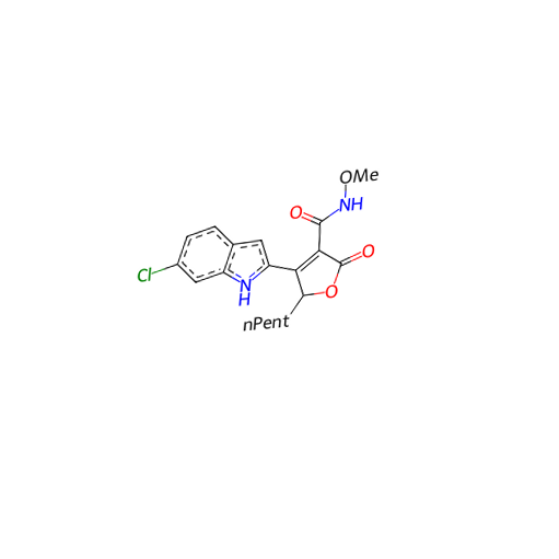 CCCCCC1OC(=O)C(C(=O)NOC)=C1c1cc2ccc(Cl)cc2[nH]1